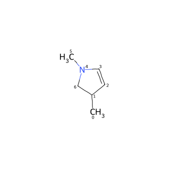 CC1C=CN(C)C1